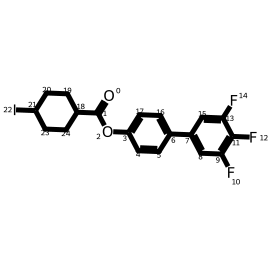 O=C(Oc1ccc(-c2cc(F)c(F)c(F)c2)cc1)C1CCC(I)CC1